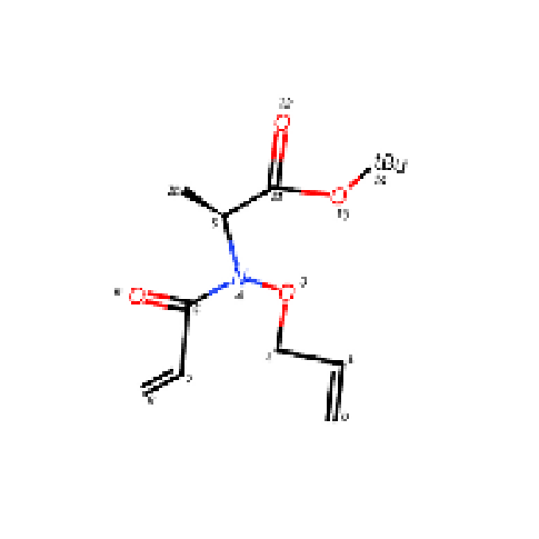 C=CCON(C(=O)C=C)[C@@H](C)C(=O)OC(C)(C)C